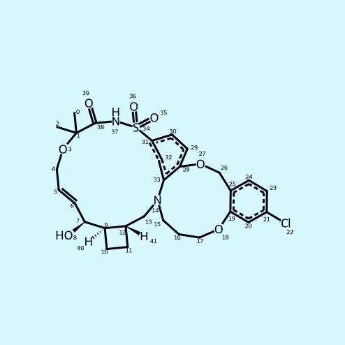 CC1(C)OC/C=C/[C@H](O)[C@@H]2CC[C@H]2CN2CCCOc3cc(Cl)ccc3COc3ccc(cc32)S(=O)(=O)NC1=O